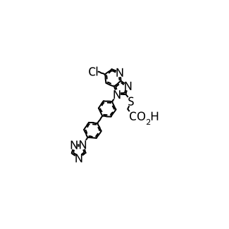 O=C(O)CSc1nc2ncc(Cl)cc2n1-c1ccc(-c2ccc(-n3cncn3)cc2)cc1